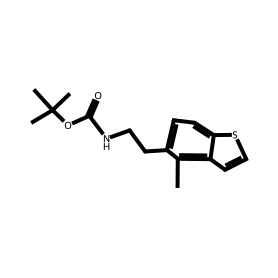 Cc1c(CCNC(=O)OC(C)(C)C)ccc2sccc12